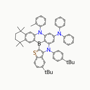 Cc1ccccc1N1c2cc3c(cc2B2c4sc5ccc(C(C)(C)C)cc5c4N(c4ccc(C(C)(C)C)cc4)c4cc(N(c5ccccc5)c5ccccc5)cc1c42)C(C)(C)CCC3(C)C